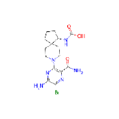 NC(=O)c1nc(Br)c(N)nc1N1CCC2(CCCC2NC(=O)O)CC1